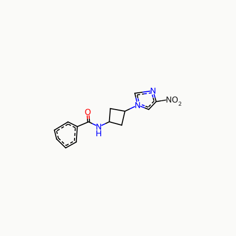 O=C(NC1CC(n2cnc([N+](=O)[O-])c2)C1)c1ccccc1